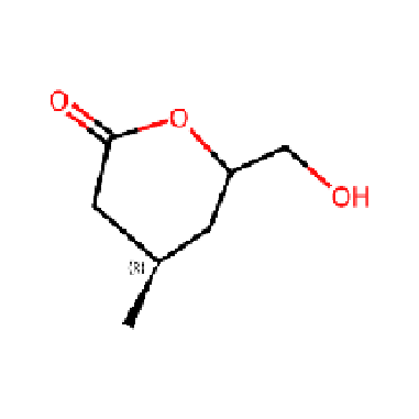 C[C@H]1CC(=O)OC(CO)C1